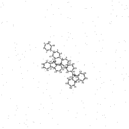 c1ccc(-c2ccc(-c3ccccc3)c(-n3c4ccccc4c4ccc(-c5cccc(-n6c7ccccc7c7ccccc76)c5)cc43)c2)cc1